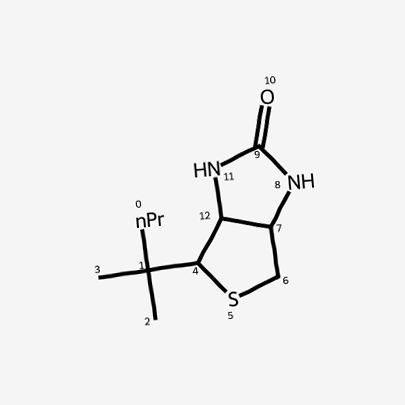 CCCC(C)(C)C1SCC2NC(=O)NC21